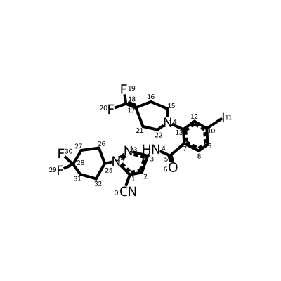 N#Cc1cc(NC(=O)c2ccc(I)cc2N2CCC(=C(F)F)CC2)nn1C1CCC(F)(F)CC1